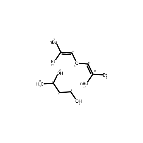 CC(O)CCO.CCCCC(=COC=C(CC)CCCC)CC